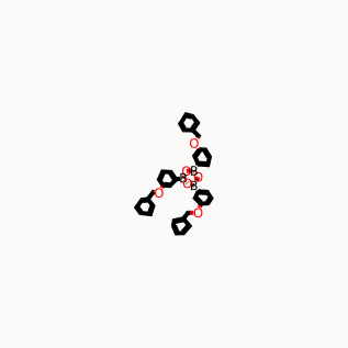 c1ccc(COc2cccc(B3OB(c4cccc(OCc5ccccc5)c4)OB(c4cccc(OCc5ccccc5)c4)O3)c2)cc1